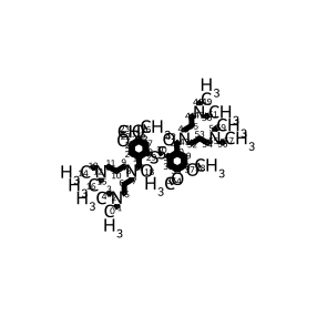 CCN(CC)CCCN(CCCN(CC)CC)C(=O)c1cc(OC)c(OC)cc1SSc1cc(OC)c(OC)cc1C(=O)N(CCCN(CC)CC)CCCN(CC)CC